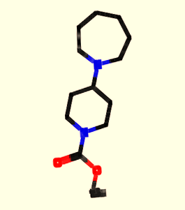 CC(C)(C)OC(=O)N1CCC(N2CCCCCC2)CC1